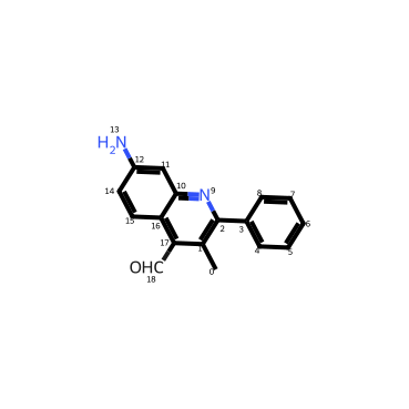 Cc1c(-c2ccccc2)nc2cc(N)ccc2c1C=O